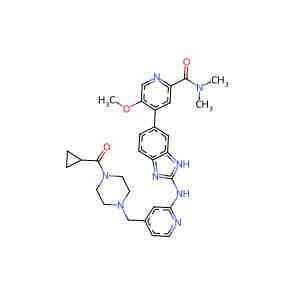 COc1cnc(C(=O)N(C)C)cc1-c1ccc2nc(Nc3cc(CN4CCN(C(=O)C5CC5)CC4)ccn3)[nH]c2c1